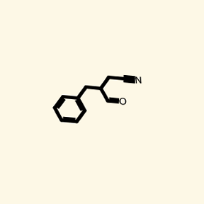 N#CCC(C=O)Cc1ccccc1